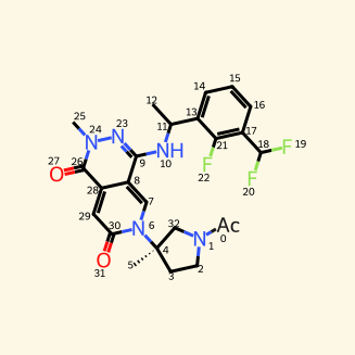 CC(=O)N1CC[C@@](C)(n2cc3c(NC(C)c4cccc(C(F)F)c4F)nn(C)c(=O)c3cc2=O)C1